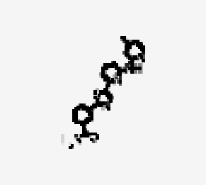 Cc1ccnc(Nc2cccc(-c3cnc(-c4cccc(C(N)=O)c4)s3)n2)c1